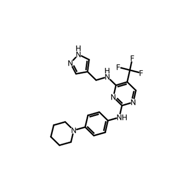 FC(F)(F)c1cnc(Nc2ccc(N3CCCCC3)cc2)nc1NCc1cn[nH]c1